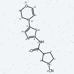 N#CN1CCC(C(=O)Nc2ncc(N3C=COCC3)s2)C1